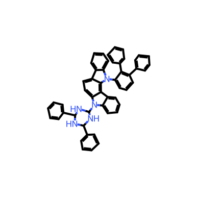 c1ccc(-c2cccc(-n3c4ccccc4c4ccc5c(c6ccccc6n5C5NC(c6ccccc6)NC(c6ccccc6)N5)c43)c2-c2ccccc2)cc1